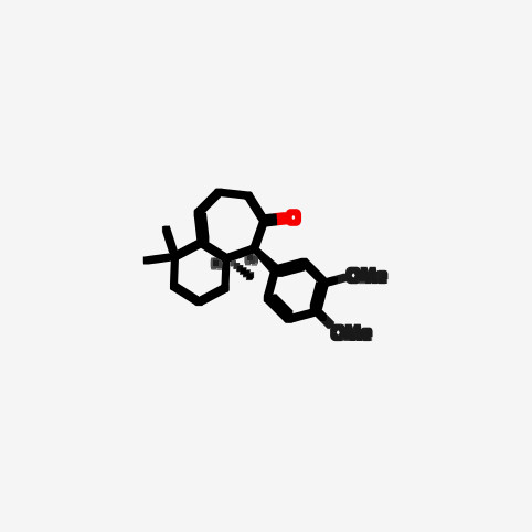 COc1ccc([C@@H]2C(=O)CCC=C3C(C)(C)CCC[C@@]32C)cc1OC